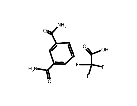 NC(=O)c1cccc(C(N)=O)c1.O=C(O)C(F)(F)F